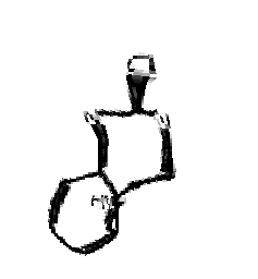 O=C1N=CC23NC=CC2=CC=CC3=N1